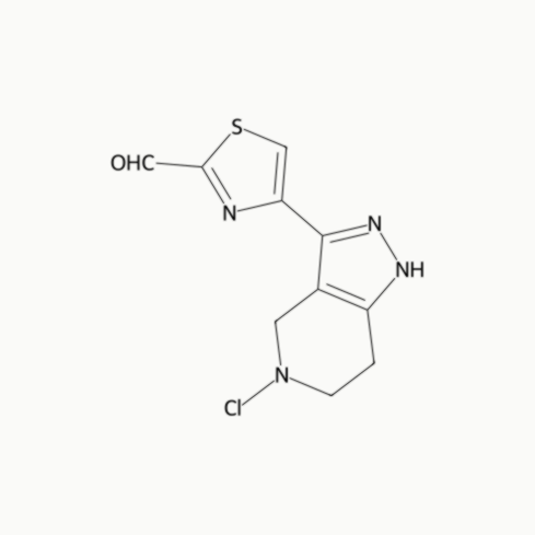 O=Cc1nc(-c2n[nH]c3c2CN(Cl)CC3)cs1